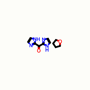 C1CCOC1.O=C(c1ncc[nH]1)c1ncc[nH]1